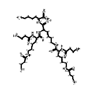 NCCCCC(NC(=O)C(CCCCNC(=O)C(CCCCNC(=O)CCS)NC(=O)CCS)NC(=O)C(CCCCNC(=O)CCS)NC(=O)CCS)C(N)=O